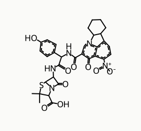 CC1(C)SC2C(NC(=O)C(NC(=O)c3cn4c5c(ccc([N+](=O)[O-])c5c3=O)C3CCCCC34)c3ccc(O)cc3)C(=O)N2C1C(=O)O